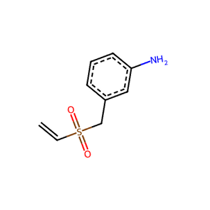 C=CS(=O)(=O)Cc1cccc(N)c1